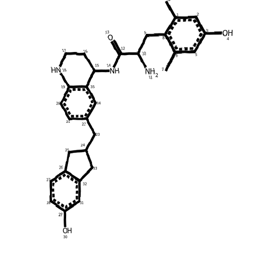 Cc1cc(O)cc(C)c1CC(N)C(=O)NC1CCNc2ccc(CC3Cc4ccc(O)cc4C3)cc21